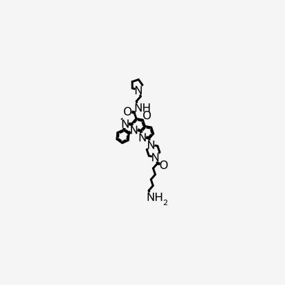 Cn1c2ccccc2n2c3nc(N4CCN(C(=O)CCCCCN)CC4)ccc3c(=O)c(C(=O)NCCN3CCCC3)c12